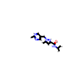 Cc1ncc(Cn2nc(C(=O)NC(C)C)cc2C)cn1